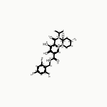 CC(C)N1C(=O)c2c(O)c(=O)c(C(=O)NCc3c(F)cc(F)cc3F)cn2N2CC[C@@H](C)C[C@@H]12